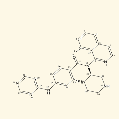 Cc1cccc2ccnc(N(C(=O)c3ccc(Nc4ncncn4)cc3F)[C@@H]3CCCNC3)c12